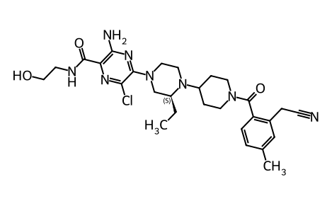 CC[C@H]1CN(c2nc(N)c(C(=O)NCCO)nc2Cl)CCN1C1CCN(C(=O)c2ccc(C)cc2CC#N)CC1